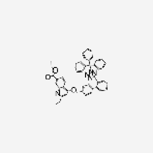 CCOC(=O)c1ccc2c(OCc3ccc(-c4ccccc4-c4nnn(C(c5ccccc5)(c5ccccc5)c5ccccc5)n4)cc3)cc(CC)nc2c1